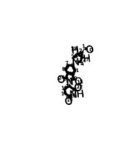 O=C[C@@H]1[C@H]2CN(c3ccc4c(c3)C(=O)N(C3CCC(=O)NC3=O)C4=O)C[C@@H]12